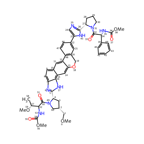 COC[C@H]1C[C@@H](c2nc3ccc4cc5c(cc4c3[nH]2)OCc2cc(-c3cnc([C@@H]4CCCN4C(=O)[C@H](NC(=O)OC)c4ccccc4)[nH]3)ccc2-5)N(C(=O)C(NC(=O)OC)[C@@H](C)OC)C1